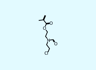 C=C(C)C(=O)OCCN(C=O)CCCl